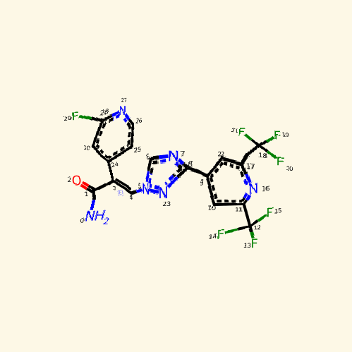 NC(=O)/C(=C/n1cnc(-c2cc(C(F)(F)F)nc(C(F)(F)F)c2)n1)c1ccnc(F)c1